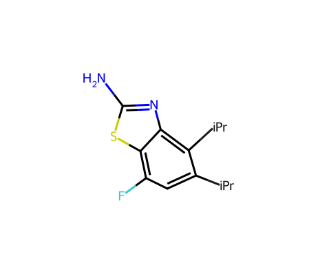 CC(C)c1cc(F)c2sc(N)nc2c1C(C)C